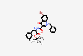 CC(C)(C)OC(=O)C(Cc1ccccc1)NC(=O)c1cn(Cc2ccccc2)c2ccc(Br)cc2c1=O